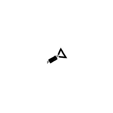 P#P1CC1